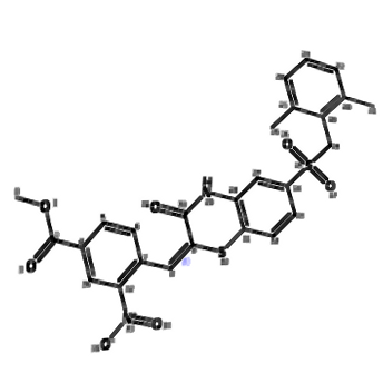 COC(=O)c1ccc(/C=C2/Sc3ccc(S(=O)(=O)Cc4c(C)cccc4C)cc3NC2=O)c([N+](=O)[O-])c1